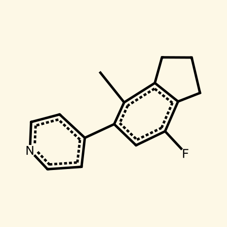 Cc1c(-c2ccncc2)cc(F)c2c1CCC2